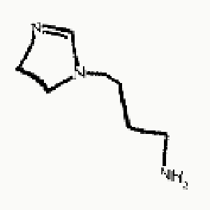 NCCCN1C=NCC1